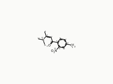 CC(=CC(=O)c1ccc(C(F)(F)F)cc1[N+](=O)[O-])N(C)C